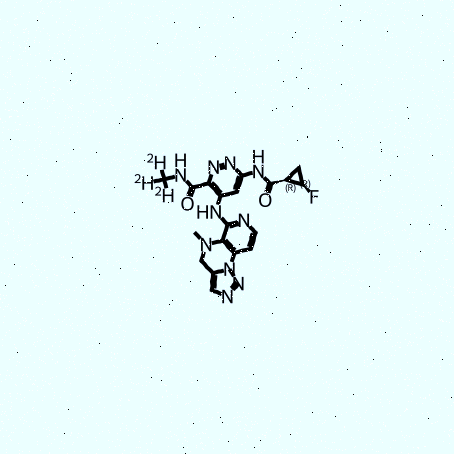 [2H]C([2H])([2H])NC(=O)c1nnc(NC(=O)[C@H]2C[C@H]2F)cc1Nc1nccc2c1N(C)Cc1cnnn1-2